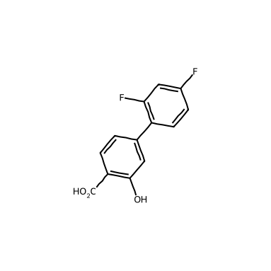 O=C(O)c1ccc(-c2ccc(F)cc2F)cc1O